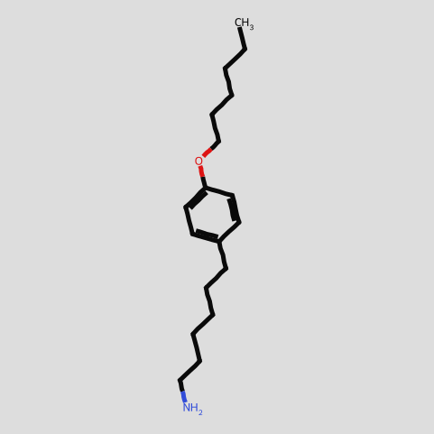 CCCCCCOc1ccc(CCCCCCN)cc1